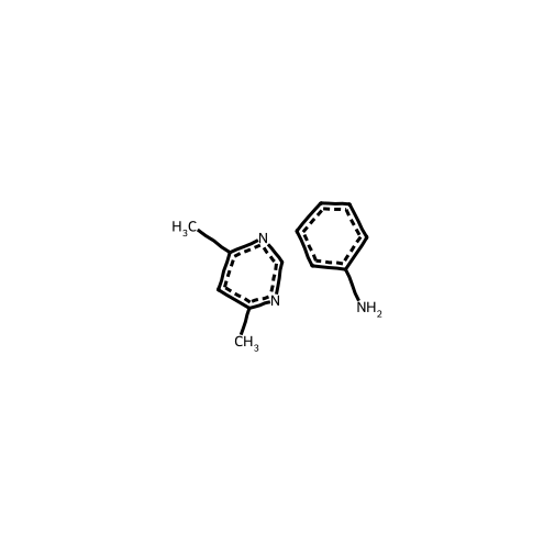 Cc1cc(C)ncn1.Nc1ccccc1